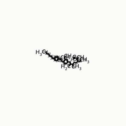 C=C(C)c1cc(CC(=C)C(C)CCC(CC)C(=C)OC)ccc1CCc1ccc(CCCCCCC)cc1